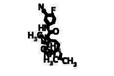 CC(C)C[C@H]1CCc2c(cn(C)c2C(=O)Nc2ccc(F)c(C#N)c2)S(=N)(=O)N1